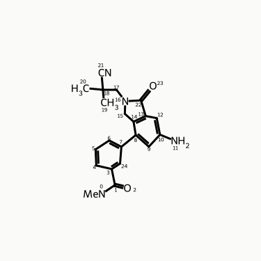 CNC(=O)c1cccc(-c2cc(N)cc3c2CN(CC(C)(C)C#N)C3=O)c1